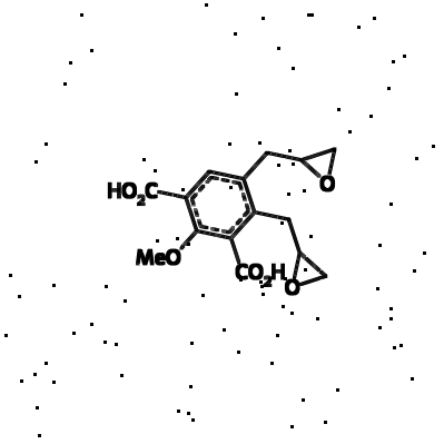 COc1c(C(=O)O)cc(CC2CO2)c(CC2CO2)c1C(=O)O